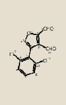 O=[C]c1onc(-c2c(Cl)cccc2Cl)c1C=O